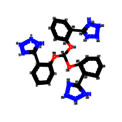 c1ccc(-c2nnn[nH]2)c(OB(Oc2ccccc2-c2nnn[nH]2)Oc2ccccc2-c2nnn[nH]2)c1